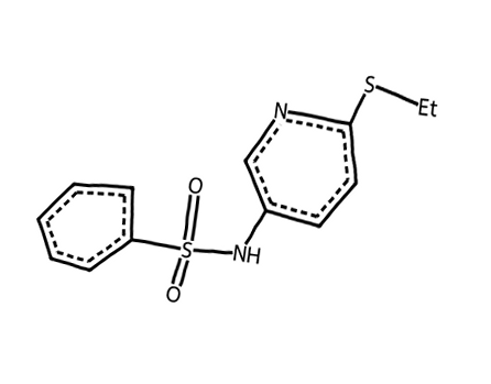 CCSc1ccc(NS(=O)(=O)c2ccccc2)cn1